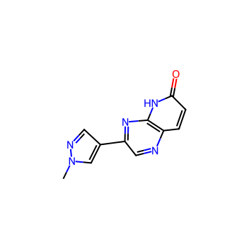 Cn1cc(-c2cnc3ccc(=O)[nH]c3n2)cn1